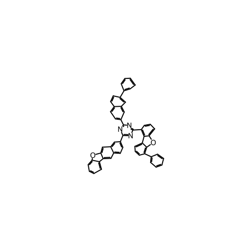 c1ccc(-c2ccc3ccc(-c4nc(-c5ccc6cc7c(cc6c5)oc5ccccc57)nc(-c5cccc6oc7c(-c8ccccc8)cccc7c56)n4)cc3c2)cc1